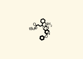 CC(C)(C)OC(=O)CCC(C1CCCCC1)N1Cc2cc(Oc3ccccc3)ncc2N=C1N